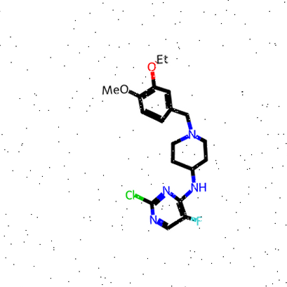 CCOc1cc(CN2CCC(Nc3nc(Cl)ncc3F)CC2)ccc1OC